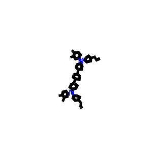 C=CCc1ccc(N(c2ccc(-c3ccc(-c4ccc(N(c5ccc(CC=C)cc5)c5ccc(C)c(C)c5)cc4)cc3)cc2)c2ccc(C)c(C)c2)cc1